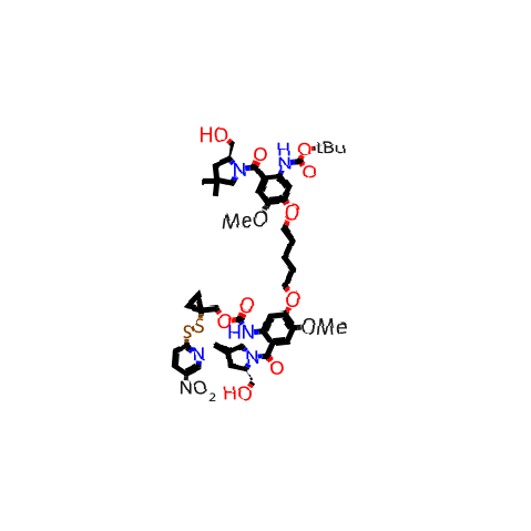 C=C1C[C@@H](CO)N(C(=O)c2cc(OC)c(OCCCCCOc3cc(NC(=O)OC(C)(C)C)c(C(=O)N4CC(C)(C)C[C@H]4CO)cc3OC)cc2NC(=O)OCC2(SSc3ccc([N+](=O)[O-])cn3)CC2)C1